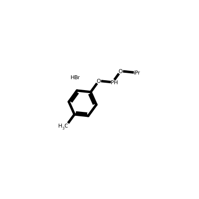 Br.Cc1ccc(OPOC(C)C)cc1